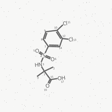 CC(C)(NS(=O)(=O)c1ccc(Cl)c(Cl)c1)C(=O)O